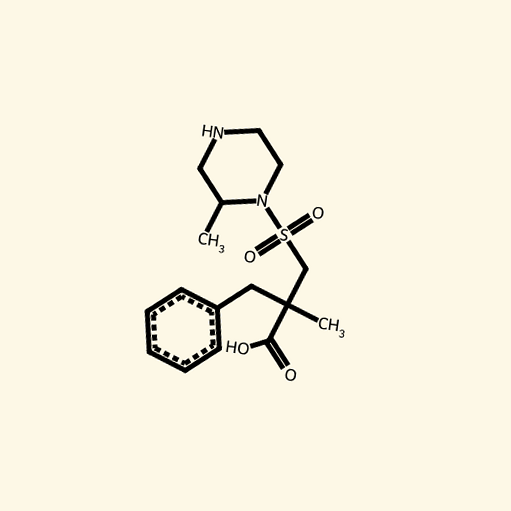 CC1CNCCN1S(=O)(=O)CC(C)(Cc1ccccc1)C(=O)O